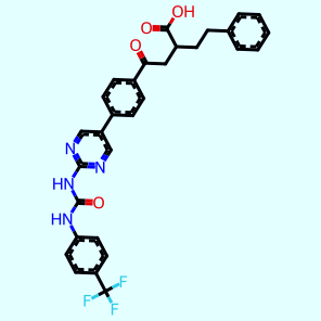 O=C(Nc1ccc(C(F)(F)F)cc1)Nc1ncc(-c2ccc(C(=O)CC(CCc3ccccc3)C(=O)O)cc2)cn1